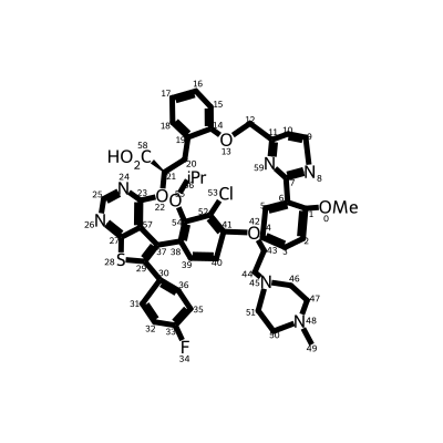 COc1ccccc1-c1nccc(COc2ccccc2C[C@@H](Oc2ncnc3sc(-c4ccc(F)cc4)c(-c4ccc(OCCN5CCN(C)CC5)c(Cl)c4OC(C)C)c23)C(=O)O)n1